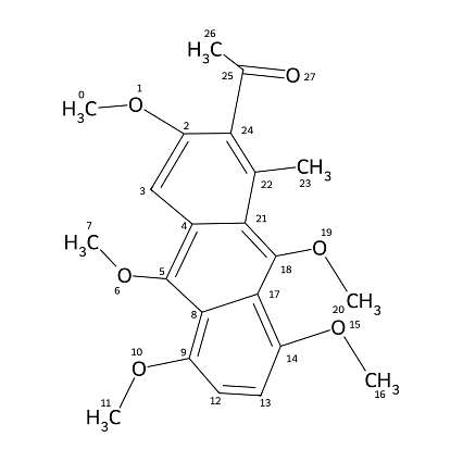 COc1cc2c(OC)c3c(OC)ccc(OC)c3c(OC)c2c(C)c1C(C)=O